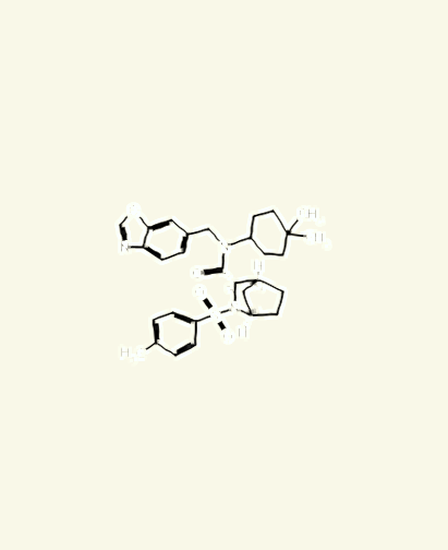 Cc1ccc(S(=O)(=O)N2[C@@H]3CC[C@@H](C3)[C@H]2C(=O)N(Cc2ccc3ncoc3c2)C2CCC(C)(C)CC2)cc1